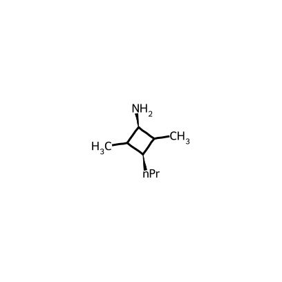 CCC[C@H]1C(C)[C@@H](N)C1C